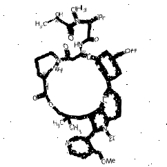 CCn1c(-c2cnccc2COC)c2c3cc(ccc31)-c1cc(O)cc(c1)C[C@H](NC(=O)C(C(C)C)N(C)C(=O)[C@@H](C)O)C(=O)N1CCC[C@H](N1)C(=O)OCC(C)(C)C2